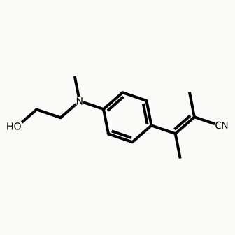 CC(C#N)=C(C)c1ccc(N(C)CCO)cc1